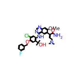 COc1cc2ncnc(Nc3cc(Cl)c(OCc4cccc(F)c4)cc3C(C)(C)O)c2cc1C(=CCN(C)C)C(N)=O